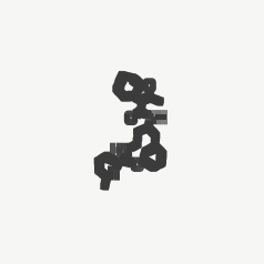 Cc1cccc(C(=O)NCCC(Cc2ccccc2)NC(=O)c2c(C)oc3ccccc23)n1